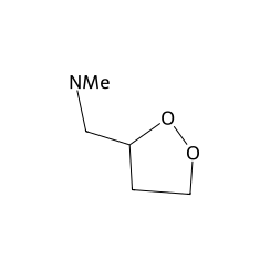 CNCC1CCOO1